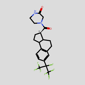 O=C1CN(C(=O)[C@@H]2CCC3c4ccc(C(F)(C(F)(F)F)C(F)(F)F)cc4CCC32)CCN1